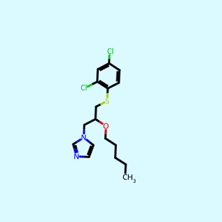 CCCCCOC(CSc1ccc(Cl)cc1Cl)Cn1ccnc1